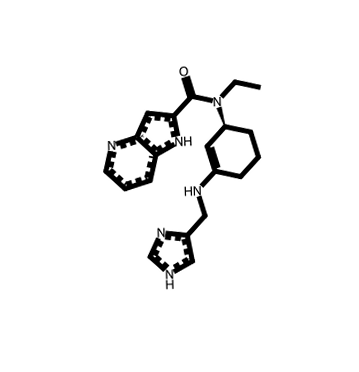 CCN(C(=O)c1cc2ncccc2[nH]1)[C@@H]1C=C(NCc2c[nH]cn2)CCC1